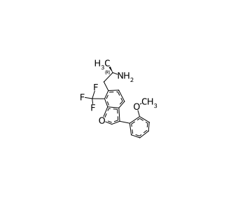 COc1ccccc1-c1coc2c(C(F)(F)F)c(C[C@@H](C)N)ccc12